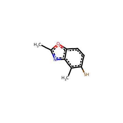 Cc1nc2c(C)c(S)ccc2o1